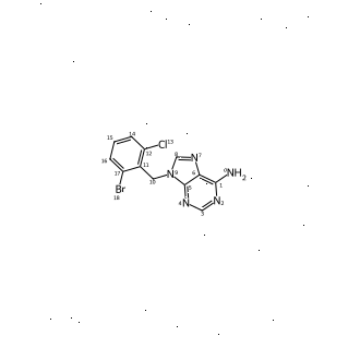 Nc1ncnc2c1ncn2Cc1c(Cl)cccc1Br